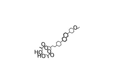 C=C(CO)C(=O)OCC(CCC1CCC(c2ccc3cc(C4CCC(OCC)CC4)ccc3c2)CC1)COC(=O)C(=C)CO